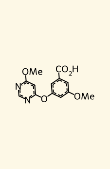 COc1cc(Oc2cc(OC)ncn2)cc(C(=O)O)c1